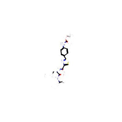 CC(=O)OC[C@H](NC(=O)c1csc(-c2ccc(NC(=O)OC(C)(C)C)cc2)n1)C(=O)N[C@@H](C)C(=O)O